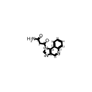 NC(=O)CC([O])n1cnc2cnc3ccccc3c21